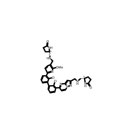 COc1nc(-c2cccc(-c3cccc(-c4ccn5nc(CNC[C@@H]6CCC(=O)N6)cc5n4)c3Cl)c2Cl)ccc1CNC[C@@H]1CCC(=O)N1